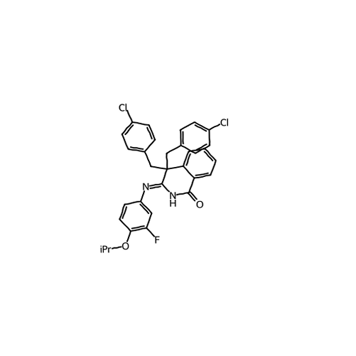 CC(C)Oc1ccc(/N=C2\NC(=O)c3ccccc3C2(Cc2ccc(Cl)cc2)Cc2ccc(Cl)cc2)cc1F